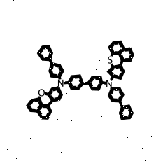 c1ccc(-c2ccc(N(c3ccc(-c4ccc(N(c5ccc(-c6ccccc6)cc5)c5ccc6c(c5)Sc5cccc7cccc-6c57)cc4)cc3)c3ccc4c(c3)Oc3cccc5cccc-4c35)cc2)cc1